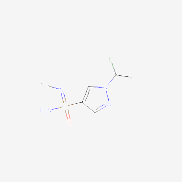 CC(=O)N=S(N)(=O)c1cnn(C(C)F)c1